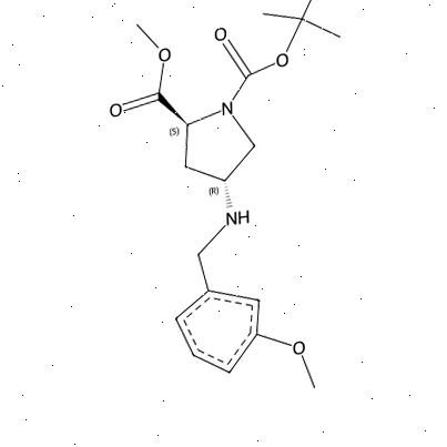 COC(=O)[C@@H]1C[C@@H](NCc2cccc(OC)c2)CN1C(=O)OC(C)(C)C